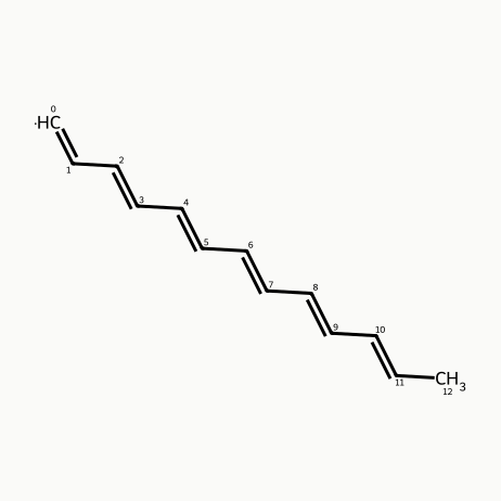 [CH]=C/C=C/C=C/C=C/C=C/C=C/C